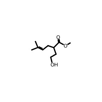 COC(=O)C(CC=C(C)C)CCO